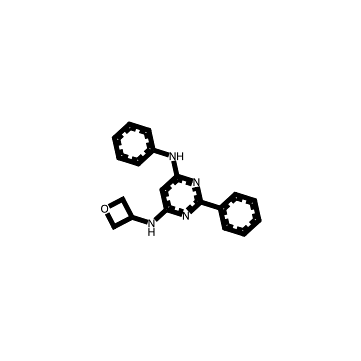 c1ccc(Nc2cc(NC3COC3)nc(-c3ccccc3)n2)cc1